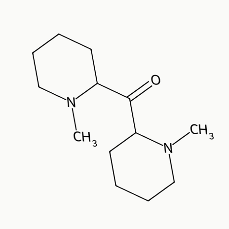 CN1CCCCC1C(=O)C1CCCCN1C